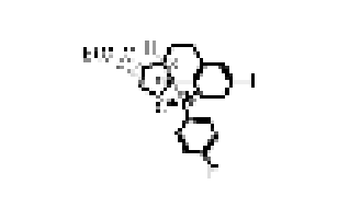 CCOC(=O)[C@H]1CC[C@]2(S(=O)(=O)c3ccc(F)cc3)c3ccc(I)cc3CC[C@H]12